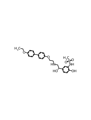 CCOc1ccc(-c2ccc(OCCNC[C@H](O)c3ccc(O)c(NS(C)(=O)=O)c3)cc2)cc1